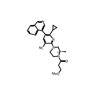 COCCC(=O)N1CCN(c2nc(C3CC3)c(-c3cncc4ccccc34)cc2C#N)C[C@H]1C